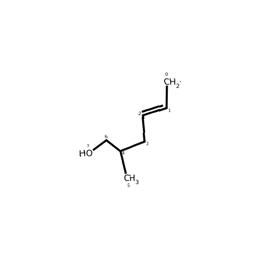 [CH2]/C=C/CC(C)CO